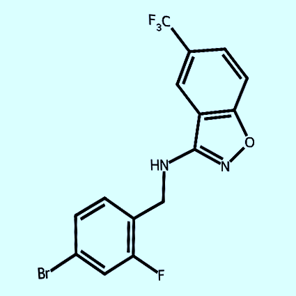 Fc1cc(Br)ccc1CNc1noc2ccc(C(F)(F)F)cc12